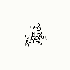 Cc1nc(N[C@H](C)c2cccc(C(F)(F)F)c2)c2cc(-c3ccc(=O)n(C)c3)c(=O)n(C)c2n1